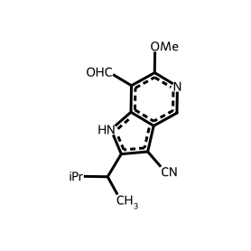 COc1ncc2c(C#N)c(C(C)C(C)C)[nH]c2c1C=O